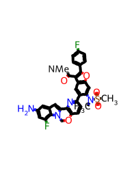 CNC(=O)c1c(-c2ccc(F)cc2)oc2cc(N(C)S(C)(=O)=O)c(-c3ccc4c(n3)-c3cc5cc(N)cc(F)c5n3CO4)cc12